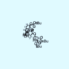 CCCCOC(=O)[C@H](CC(=O)OC1=CC[C@@]2(O)[C@H]3Cc4ccc(OC(=O)OC(C)(C)C)c5c4[C@@]2(CCN3C)[C@H]1O5)NC(=O)OC(C)(C)C